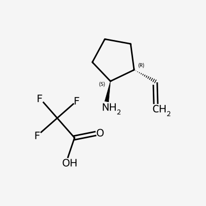 C=C[C@H]1CCC[C@@H]1N.O=C(O)C(F)(F)F